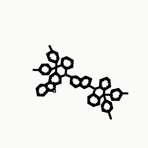 Cc1ccc(C2(c3ccc(C)cc3)c3ccccc3N(c3ccc4cc(N5c6ccccc6C(c6ccc(C)cc6)(c6ccc(C)cc6)c6cc7c(cc65)oc5ccccc57)ccc4c3)c3ccccc32)cc1